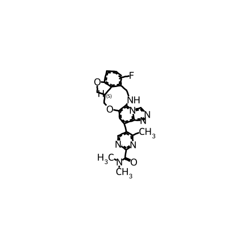 Cc1nc(C(=O)N(C)C)ncc1-c1cc2c(n3cnnc13)NCc1c(F)ccc3c1[C@@H](CO3)CO2